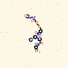 CN(CCN1CCOCC1)C(=O)CCOCCSCc1cccc(C(=O)Nc2ccc(N3CCCCC3)cc2-c2cc(C(=O)NCc3cccc(C(F)(F)F)c3)ccn2)c1